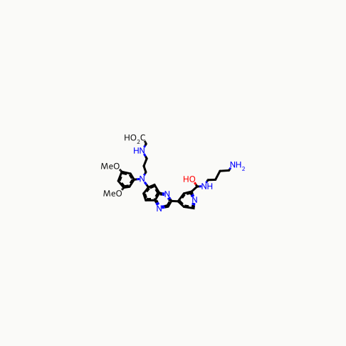 COc1cc(OC)cc(N(CCCNCC(=O)O)c2ccc3ncc(-c4ccnc(C(O)NCCCCN)c4)nc3c2)c1